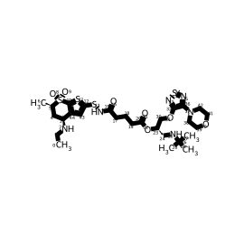 CCN[C@H]1C[C@H](C)S(=O)(=O)c2sc(SNC(=O)CCCC(=O)O[C@@H](CNC(C)(C)C)COc3nsnc3N3CCOCC3)cc21